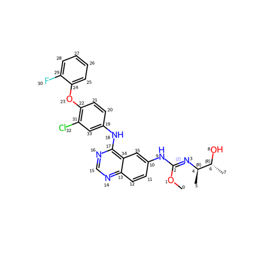 CO/C(=N\[C@H](C)[C@@H](C)O)Nc1ccc2ncnc(Nc3ccc(Oc4ccccc4F)c(Cl)c3)c2c1